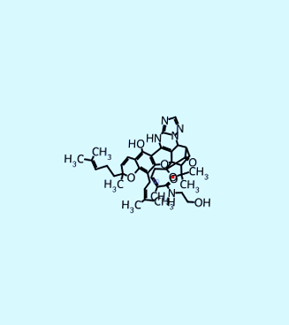 CC(C)=CCCC1(C)C=Cc2c(O)c3c(c(CC=C(C)C)c2O1)OC12C4=C3Nc3ncnn3C4C3CC1C(C)(C)OC2(C/C=C(/C)C(=O)NCCO)C3=O